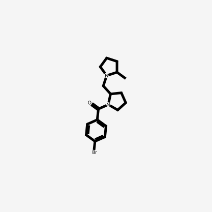 CC1CCCN1CC1CCCN1C(=O)c1ccc(Br)cc1